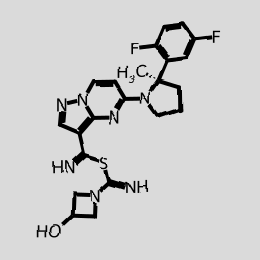 C[C@]1(c2cc(F)ccc2F)CCCN1c1ccn2ncc(C(=N)SC(=N)N3CC(O)C3)c2n1